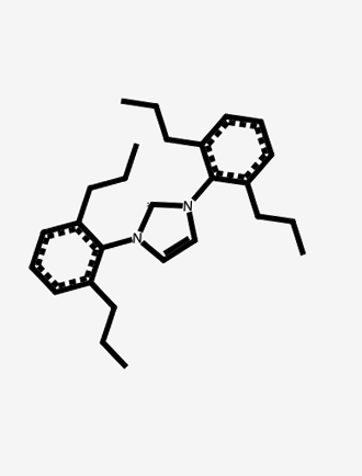 CCCc1cccc(CCC)c1N1[C]N(c2c(CCC)cccc2CCC)C=C1